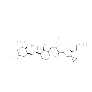 C=C1/C(=C\C=C2/CCC[C@]3(C)[C@@H]([C@H](C)[C@H](O)CCC4(C(=O)CCC)CC4)CC[C@@H]23)C[C@@H](O)C[C@@H]1O